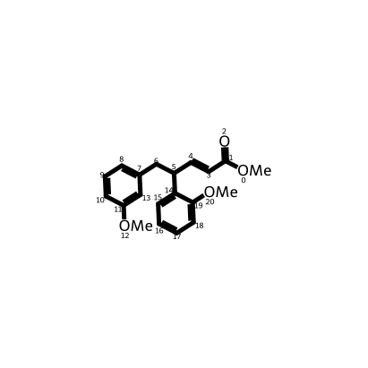 COC(=O)C=CC(Cc1cccc(OC)c1)c1ccccc1OC